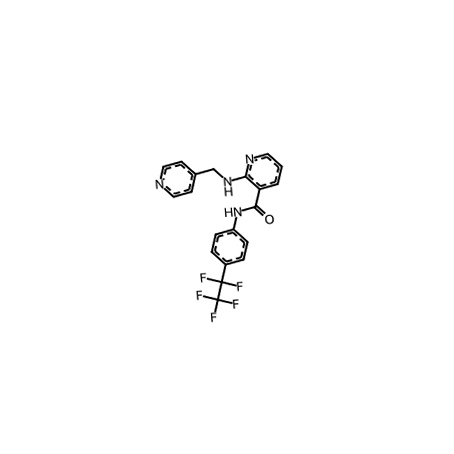 O=C(Nc1ccc(C(F)(F)C(F)(F)F)cc1)c1cccnc1NCc1ccncc1